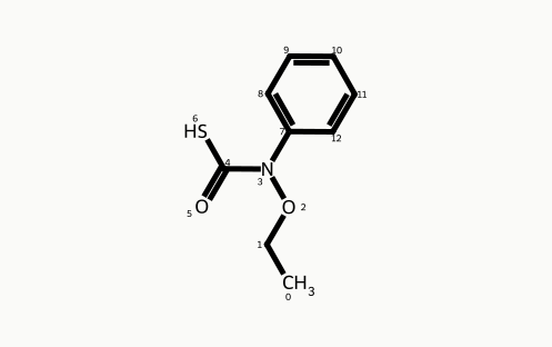 CCON(C(=O)S)c1ccccc1